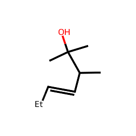 CC/C=C/C(C)C(C)(C)O